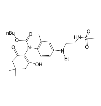 CCCCOC(=O)N(C1=C(O)CC(C)(C)CC1=O)c1ccc(N(CC)CCNS(C)(=O)=O)cc1C